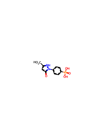 O=C(O)c1cc(=O)n(-c2ccc(P(=O)(O)O)cc2)[nH]1